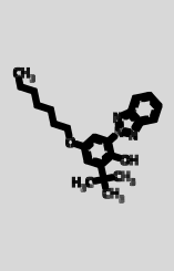 CCCCCCCOc1cc(-n2nc3ccccc3n2)c(O)c(C(C)(C)C)c1